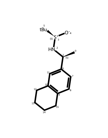 C[C@H](N[S@+]([O-])C(C)(C)C)c1ccc2c(c1)CCCC2